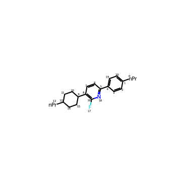 CCCc1ccc(-c2ccc(C3CCC(CCC)CC3)c(F)n2)cc1